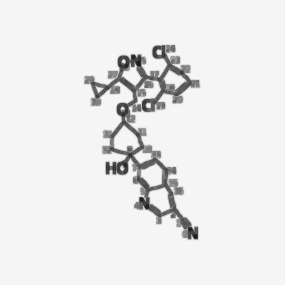 N#Cc1cnc2cc(C3(O)CCC(OCc4c(-c5c(Cl)cccc5Cl)noc4C4CC4)CC3)ccc2c1